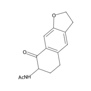 CC(=O)NC1CCc2cc3c(cc2C1=O)OCC3